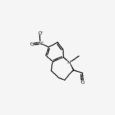 CN1c2ccc([N+](=O)[O-])cc2CCCC1C=O